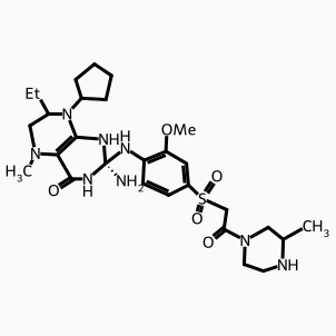 CCC1CN(C)C2=C(N[C@@](N)(Nc3ccc(S(=O)(=O)CC(=O)N4CCNC(C)C4)cc3OC)NC2=O)N1C1CCCC1